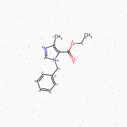 CCOC(=O)c1c(C)ncn1Cc1ccccc1